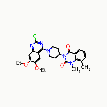 CCOc1cc2nc(Cl)nc(N3CCC(n4c(=O)c5cccc(C)c5n(C)c4=O)CC3)c2cc1OCC